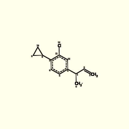 [CH2]C(C=C)c1ccc(C2CC2)c(Cl)c1